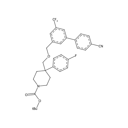 CC(C)(C)OC(=O)N1CCC(COCc2cc(-c3ccc(C#N)cc3)cc(C(F)(F)F)c2)(c2ccc(F)cc2)CC1